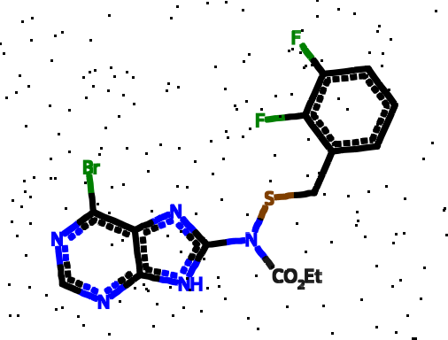 CCOC(=O)N(SCc1cccc(F)c1F)c1nc2c(Br)ncnc2[nH]1